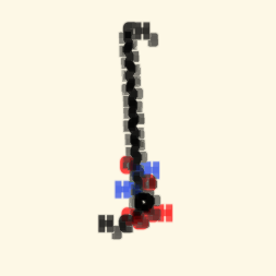 CCC=CCC=CCC=CCC=CCC=CCC=CCCC(=O)NCC(=O)Nc1ccc(O)c(C(=O)OC)c1